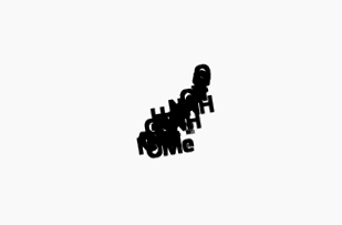 COc1ncccc1C1=Cn2ncc(C(=O)Nc3cc(NC(=O)CN4CC5(CCOCC5)C4)cnc3C)c2[SH]1C(N)=O